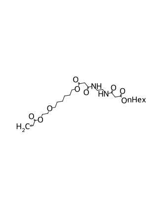 C=CC(=O)OCCOCCCCCCOC(=O)CC(=O)NCCNC(=O)CC(=O)OCCCCCC